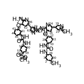 Cc1ccc(NC(=O)Nc2cccc(Oc3cc(-c4cnn(C)c4)cnc3N)c2)cc1.Cn1cc(-c2cnc(N)c(Oc3cccc(NC(=O)Nc4ccc(S(C)(=O)=O)cc4)c3)c2)cn1